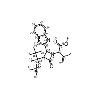 C=C(C)C(C(=O)OC)N1C(=O)C([C@](C)(O[SiH](C)C)C(C)(C)C)C1c1nc2ccccc2s1